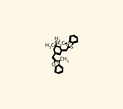 CN1C(=CC2=CC(=Cc3sc4ccccc4[n+]3C)CC(C)(C)C2)Oc2ccccc21